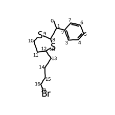 CC(c1ccccc1)C1SCCC(CCCCBr)S1